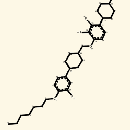 CCCCCCCOc1ccc(C2CCC(COc3ccc(C4CCC(C)CC4)c(F)c3F)CC2)cc1F